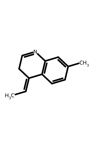 C/C=C1\CC=Nc2cc(C)ccc21